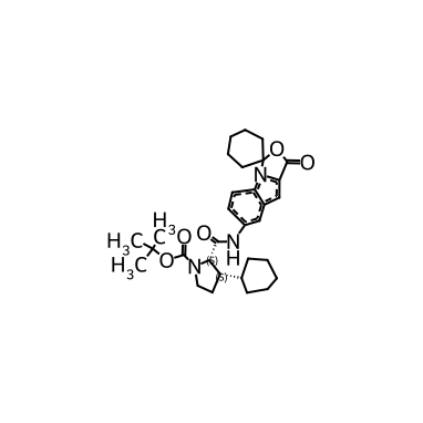 CC(C)(C)OC(=O)N1CC[C@@H](C2CCCCC2)[C@H]1C(=O)Nc1ccc2c(c1)cc1n2C2(CCCCC2)OC1=O